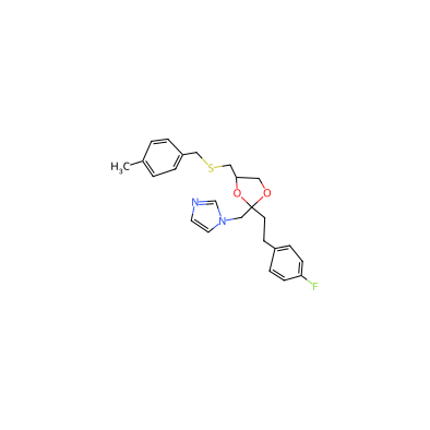 Cc1ccc(CSCC2COC(CCc3ccc(F)cc3)(Cn3ccnc3)O2)cc1